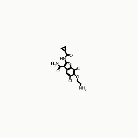 NCCOc1c(Cl)cc2c(C(N)=O)c(NC(=O)C3CC3)sc2c1Cl